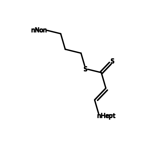 CCCCCCCC=CC(=S)SCCCCCCCCCCCC